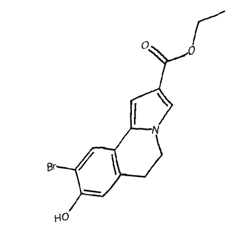 CCOC(=O)c1cc2n(c1)CCc1cc(O)c(Br)cc1-2